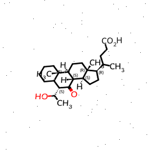 CC(O)[C@H]1C(=O)[C@H]2[C@@H]3CC[C@H](C(C)CCC(=O)O)[C@@]3(C)CC[C@@H]2[C@@]2(C)CCCCC12